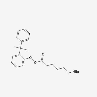 CC(C)(C)CCCCCC(=O)OOc1ccccc1C(C)(C)c1ccccc1